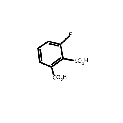 O=C(O)c1cccc(F)c1S(=O)(=O)O